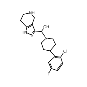 OC(c1n[nH]c2c1CNCC2)N1CCC(c2cc(F)ccc2Cl)CC1